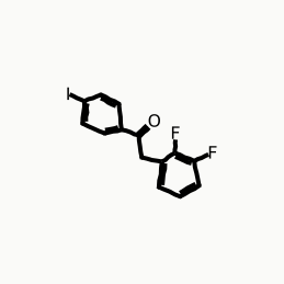 O=C(Cc1cccc(F)c1F)c1ccc(I)cc1